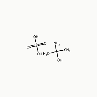 CC(C)(N)O.O=S(=O)(O)O